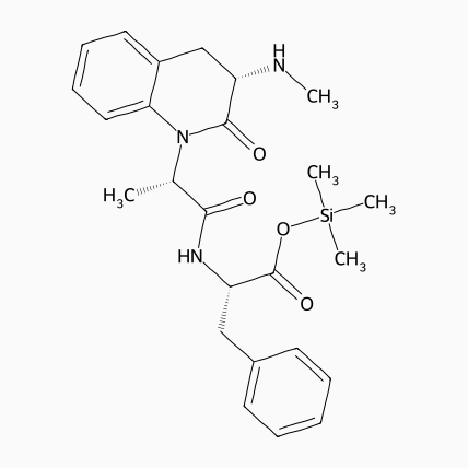 CN[C@H]1Cc2ccccc2N([C@@H](C)C(=O)N[C@@H](Cc2ccccc2)C(=O)O[Si](C)(C)C)C1=O